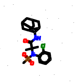 CC(C)(C(=O)NC1C2CC3CC(C2)CC1C3)N(c1ccccc1Cl)S(C)(=O)=O